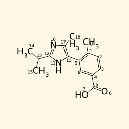 Cc1ccc(C(=O)O)cc1-c1[nH]c(C(C)C)nc1C